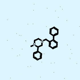 CN1CCN(Cc2ccccc2-c2ccccc2)CC1c1ccccc1